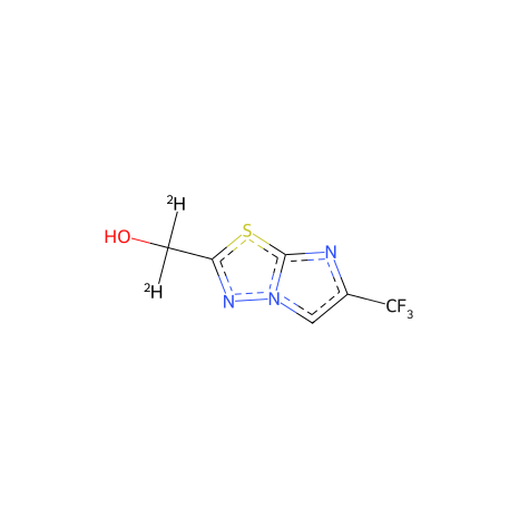 [2H]C([2H])(O)c1nn2cc(C(F)(F)F)nc2s1